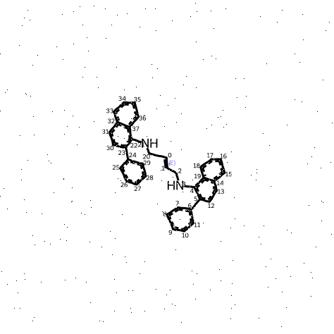 C(=C\CNc1c(-c2ccccc2)ccc2ccccc12)/CNc1c(-c2ccccc2)ccc2ccccc12